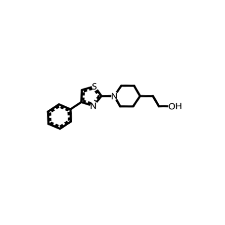 OCCC1CCN(c2nc(-c3ccccc3)cs2)CC1